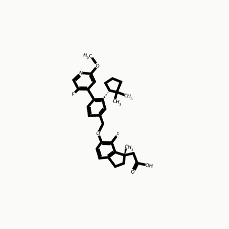 COc1cc(-c2ccc(COc3ccc4c(c3F)[C@](C)(CC(=O)O)CC4)cc2[C@@H]2CCCC2(C)C)c(F)cn1